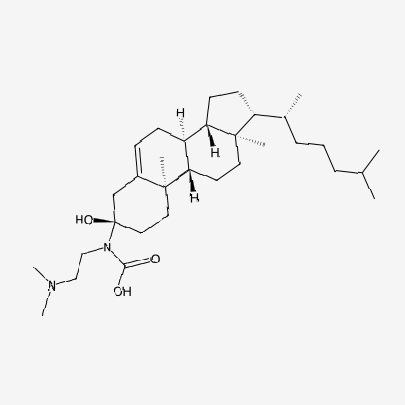 CC(C)CCC[C@@H](C)[C@H]1CC[C@H]2[C@@H]3CC=C4C[C@@](O)(N(CCN(C)C)C(=O)O)CC[C@]4(C)[C@H]3CC[C@]12C